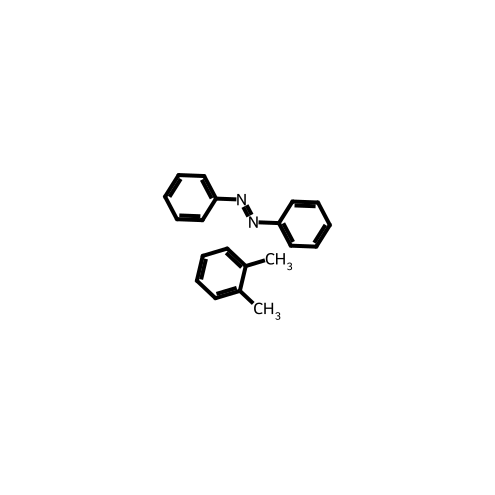 Cc1ccccc1C.c1ccc(N=Nc2ccccc2)cc1